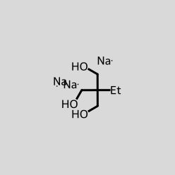 CCC(CO)(CO)CO.[Na].[Na].[Na]